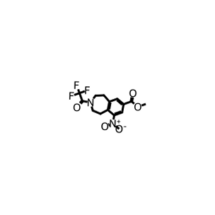 COC(=O)c1cc2c(c([N+](=O)[O-])c1)CCN(C(=O)C(F)(F)F)CC2